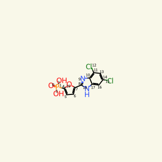 O=P(O)(O)c1ccc(-c2nc3c(Cl)cc(Cl)cc3[nH]2)o1